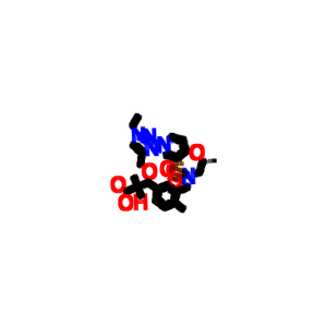 CCn1cc(CO[C@H](c2ccc(C)c(CN3C[C@@H](C)Oc4ccncc4S3(=O)=O)c2)C(C)(C)C(=O)O)nn1